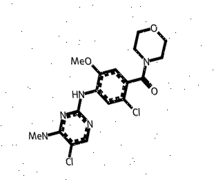 CNc1nc(Nc2cc(Cl)c(C(=O)N3CCOCC3)cc2OC)ncc1Cl